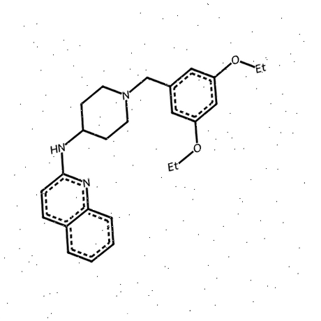 CCOc1cc(CN2CCC(Nc3ccc4ccccc4n3)CC2)cc(OCC)c1